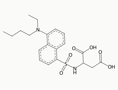 CCCCN(CC)c1cccc2c(S(=O)(=O)NC(CC(=O)O)C(=O)O)cccc12